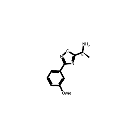 COc1cccc(-c2noc([C@H](C)N)n2)c1